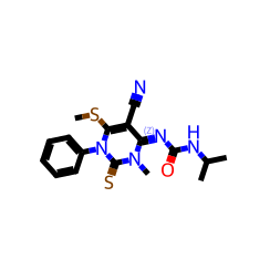 CSc1c(C#N)/c(=N/C(=O)NC(C)C)n(C)c(=S)n1-c1ccccc1